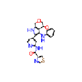 O=C(Nc1cc(-c2[nH]c3c(c2Nc2ccccc2)C(=O)COC3)ccn1)c1cscn1